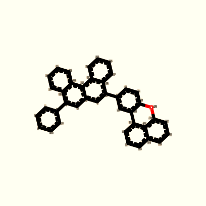 c1ccc(-c2cc3cc(-c4ccc5c(c4)-c4cccc6cccc(c46)O5)c4ccccc4c3c3ccccc23)cc1